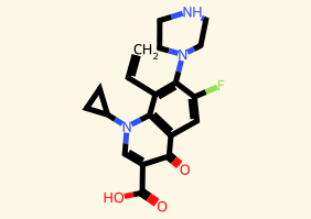 C=Cc1c(N2CCNCC2)c(F)cc2c(=O)c(C(=O)O)cn(C3CC3)c12